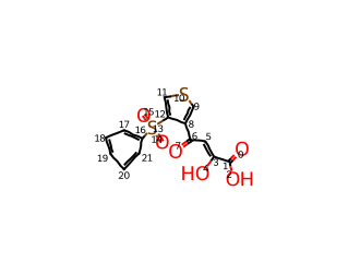 O=C(O)/C(O)=C/C(=O)c1cscc1S(=O)(=O)c1ccccc1